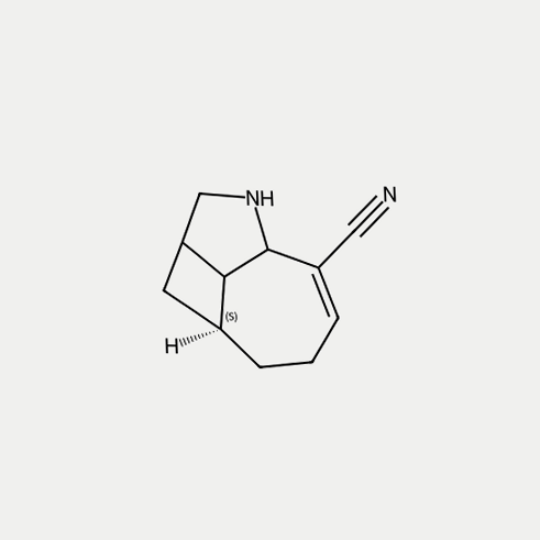 N#CC1=CCC[C@H]2CC3CNC1C32